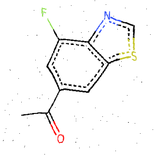 CC(=O)c1cc(F)c2ncsc2c1